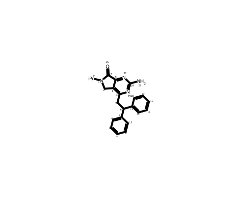 CC(C)N1Cc2c(CC(c3ccccc3)c3ccccc3)nc(N)nc2C1=O